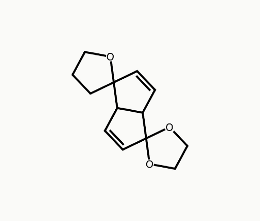 C1=CC2(OCCO2)C2C=CC3(CCCO3)C12